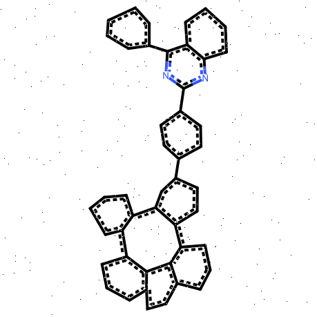 c1ccc(-c2nc(-c3ccc(-c4ccc5c(c4)c4ccccc4c4cccc6ccc7cccc5c7c64)cc3)nc3ccccc23)cc1